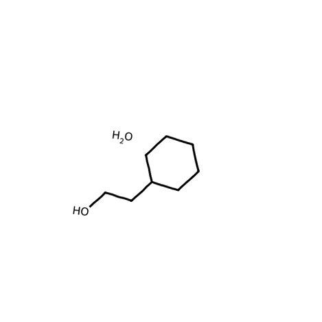 O.OCCC1CCCCC1